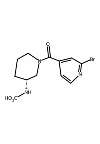 O=C(O)N[C@@H]1CCCN(C(=O)c2ccnc(Br)c2)C1